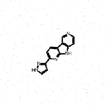 c1cc2[nH]c3nc(-c4cc[nH]n4)ccc3c2cn1